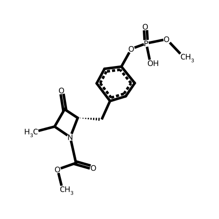 COC(=O)N1C(C)C(=O)[C@@H]1Cc1ccc(OP(=O)(O)OC)cc1